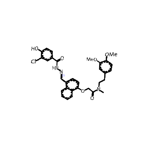 COc1ccc(CCN(C)C(=O)COc2ccc(/C=N/NC(=O)c3ccc(O)c(Cl)c3)c3ccccc23)cc1OC